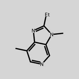 CCc1nc2c(C)cncc2n1C